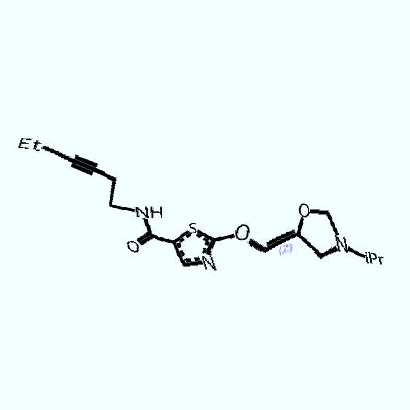 CCC#CCCNC(=O)c1cnc(O/C=C2/CN(C(C)C)CO2)s1